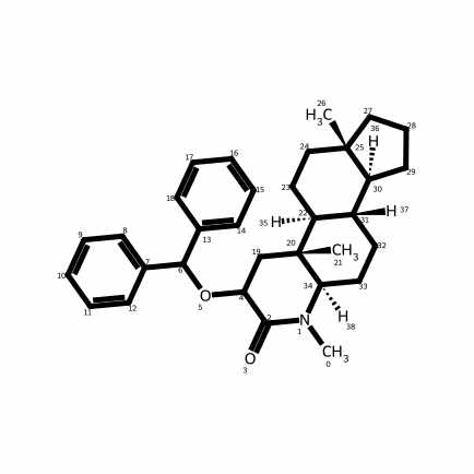 CN1C(=O)C(OC(c2ccccc2)c2ccccc2)C[C@]2(C)[C@H]3CC[C@]4(C)CCC[C@H]4[C@@H]3CC[C@@H]12